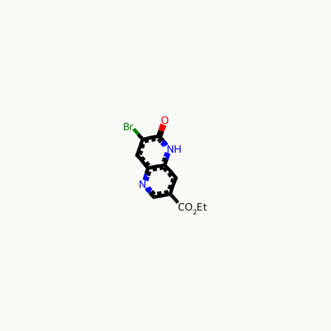 CCOC(=O)c1cnc2cc(Br)c(=O)[nH]c2c1